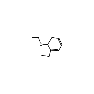 CCOC1CC=CC=C1CC